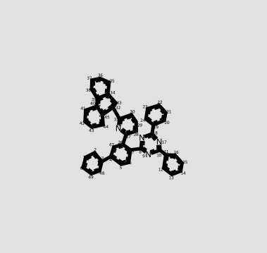 c1ccc(-c2ccc(-c3nc(-c4ccccc4)nc(-c4ccccc4)n3)c(-c3cccc(-c4cc5ccccc5c5ccccc45)n3)c2)cc1